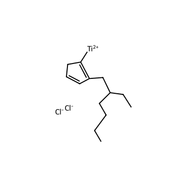 CCCCC(CC)CC1=[C]([Ti+2])CC=C1.[Cl-].[Cl-]